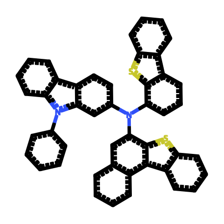 c1ccc(-n2c3ccccc3c3ccc(N(c4cccc5c4sc4ccccc45)c4cc5ccccc5c5c4sc4ccccc45)cc32)cc1